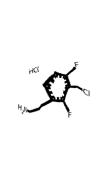 Cl.NCc1ccc(F)c(Cl)c1F